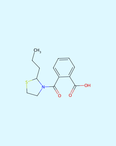 CCCC1SCCN1C(=O)c1ccccc1C(=O)O